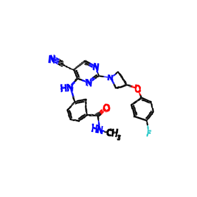 CNC(=O)c1cccc(Nc2nc(N3CC(Oc4ccc(F)cc4)C3)ncc2C#N)c1